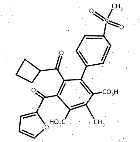 Cc1c(C(=O)O)c(C(=O)c2ccco2)c(C(=O)C2CCC2)c(-c2ccc(S(C)(=O)=O)cc2)c1C(=O)O